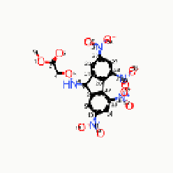 COC(=O)CONC1c2cc([N+](=O)[O-])cc([N+](=O)[O-])c2-c2c1cc([N+](=O)[O-])cc2[N+](=O)[O-]